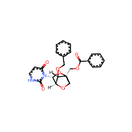 O=C(OC[C@@]12CO[C@@H]([C@H](n3c(=O)cc[nH]c3=O)O1)[C@@H]2OCc1ccccc1)c1ccccc1